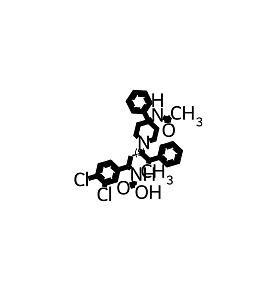 CC(=O)NC1(c2ccccc2)CCN([C@@H](CC(NC(=O)O)c2ccc(Cl)c(Cl)c2)C(C)c2ccccc2)CC1